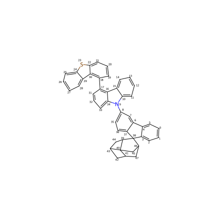 c1ccc2c(c1)-c1cc(-n3c4ccccc4c4c(-c5cccc6sc7ccccc7c56)cccc43)ccc1C21C2CC3CC(C2)CC1C3